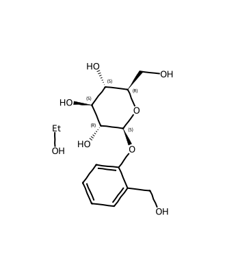 CCO.OCc1ccccc1O[C@@H]1O[C@H](CO)[C@@H](O)[C@H](O)[C@H]1O